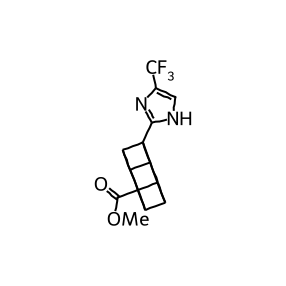 COC(=O)C12C3C4C1C1C2C3C41c1nc(C(F)(F)F)c[nH]1